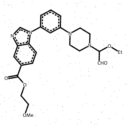 CCOC(C=O)N1CCN(c2cccc(-n3cnc4cc(C(=O)OCCOC)ccc43)c2)CC1